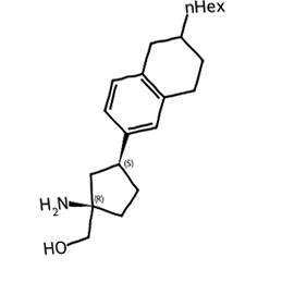 CCCCCCC1CCc2cc([C@H]3CC[C@](N)(CO)C3)ccc2C1